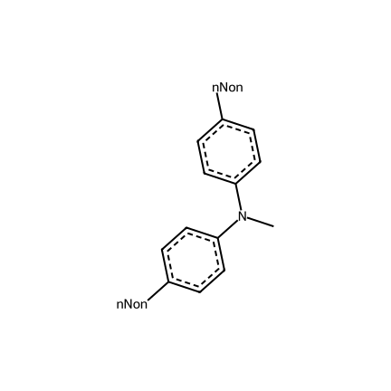 CCCCCCCCCc1ccc(N(C)c2ccc(CCCCCCCCC)cc2)cc1